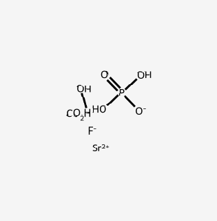 O=C(O)O.O=P([O-])(O)O.[F-].[Sr+2]